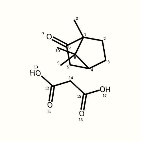 CC12CCC(CC1=O)C2(C)C.O=C(O)CC(=O)O